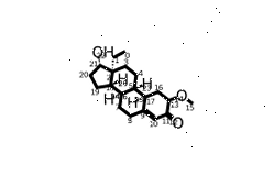 CC[C@]12CC[C@H]3[C@@H](CCC4=CC(=O)C(OC)C[C@@H]43)[C@@H]1CC[C@@H]2O